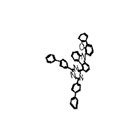 C1=Cc2c(oc3c(-n4c5ccccc5c5c(-c6nc(-c7ccc(-c8ccccc8)cc7)nc(-c7ccc(-c8ccccc8)cc7)n6)cccc54)cccc23)CC1